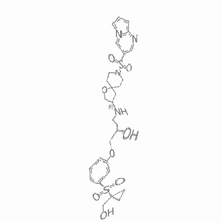 O=S(=O)(c1cnc2cccn2c1)N1CCC2(CC1)C[C@@H](NCC(O)COc1cccc(S(=O)(=O)C3(CO)CC3)c1)CO2